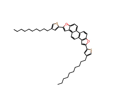 CCCCCCCCCCc1csc(-c2cc3c(ccc4c3ccc3c5cc(-c6cc(CCCCCCCCCC)cs6)oc5ccc34)o2)c1